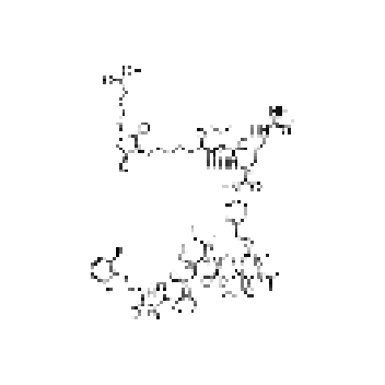 CC[C@H](C)[C@@H]([C@@H](CC(=O)N1CCC[C@H]1[C@H](OC)[C@@H](C)C(=O)NCCc1c(F)cccc1F)OC)N(C)C(=O)[C@@H](NC(=O)[C@H](C(C)C)N(C)C(=O)OCc1ccc(NC(=O)[C@H](CCCNC(N)=O)NC(=O)[C@@H](NC(=O)CCCCCN2C(=O)CC(SCCCC(=O)O)C2=O)C(C)C)cc1)C(C)C